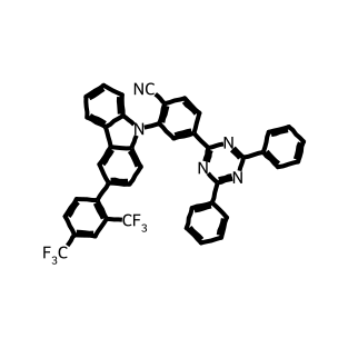 N#Cc1ccc(-c2nc(-c3ccccc3)nc(-c3ccccc3)n2)cc1-n1c2ccccc2c2cc(-c3ccc(C(F)(F)F)cc3C(F)(F)F)ccc21